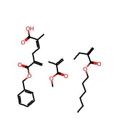 C=C(C)C(=O)OC.C=C(CC)C(=O)OCCCCCC.C=C(CC=C(C)C(=O)O)C(=O)OCc1ccccc1